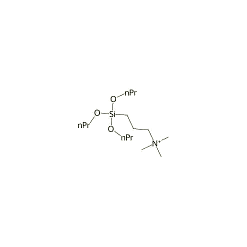 CCCO[Si](CCC[N+](C)(C)C)(OCCC)OCCC